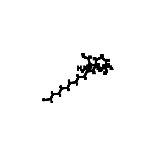 CCCCCCCCCCCCC1(C(N)CC)CCC[Si](C)(C)O1